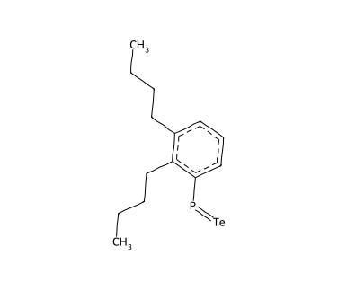 CCCCc1cccc(P=[Te])c1CCCC